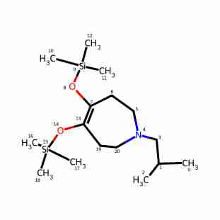 CC(C)CN1CCC(O[Si](C)(C)C)=C(O[Si](C)(C)C)CC1